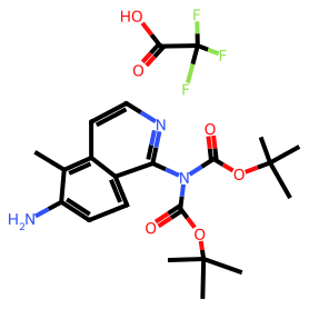 Cc1c(N)ccc2c(N(C(=O)OC(C)(C)C)C(=O)OC(C)(C)C)nccc12.O=C(O)C(F)(F)F